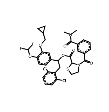 CN(C)C(=O)c1cccc(C(=O)N2CCSC2C(=O)OC(Cc2c(Cl)cncc2Cl)c2ccc(OC(F)F)c(OCC3CC3)c2)c1